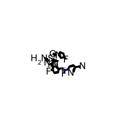 C[C@]1(c2cc(/C=C(\F)c3ccc(C#N)cn3)ccc2F)N=C(N)S[C@@]2(C(=O)N3CCC(F)C3)C[C@H]21